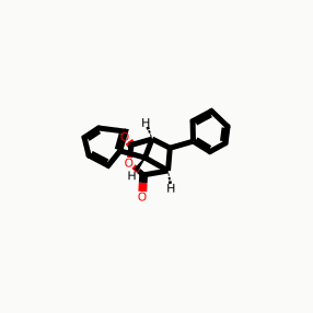 O=C1OC(=O)[C@H]2C(c3ccccc3)[C@@H]1[C@@H]2c1ccccc1